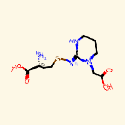 N[C@H](CS/N=C1\NCCCN1CC(=O)O)C(=O)O